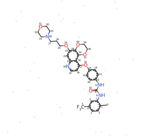 Cc1ccc(C(F)(F)F)cc1NC(=O)Nc1ccc(Oc2ccnc3cc(OCCCN4CCOCC4)c4c(c23)OCCO4)cc1